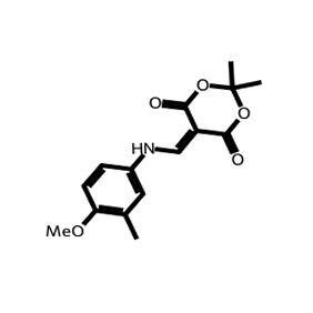 COc1ccc(NC=C2C(=O)OC(C)(C)OC2=O)cc1C